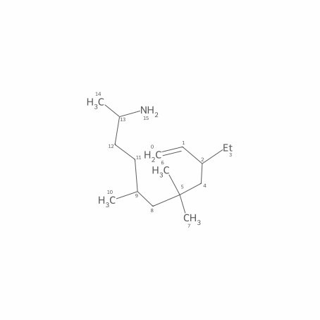 C=CC(CC)CC(C)(C)CC(C)CCC(C)N